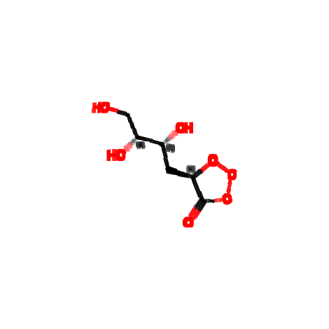 O=C1OOO[C@@H]1C[C@@H](O)[C@H](O)CO